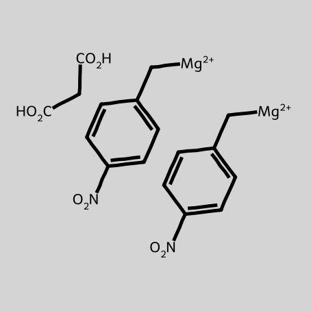 O=C(O)CC(=O)O.O=[N+]([O-])c1ccc([CH2][Mg+2])cc1.O=[N+]([O-])c1ccc([CH2][Mg+2])cc1